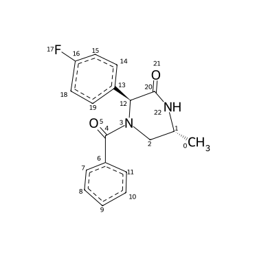 C[C@@H]1CN(C(=O)c2ccccc2)[C@@H](c2ccc(F)cc2)C(=O)N1